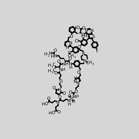 COc1ccccc1-c1nccc(COc2ccccc2C[C@@H](Oc2ncnc3sc(-c4ccc(F)cc4)c(-c4ccc(OCCN5CC[N+](C)(Cc6ccc(NC(=O)[C@H](CCCNC(N)=O)NC(=O)[C@@H](NC(=O)CCOCCN7C(=O)C=CC7=O)C(C)C)cc6COCc6cn(CCOC(=O)NS(=O)(=O)NCCC(=O)N(CCC(=O)O)CCC(=O)O)nn6)CC5)c(Cl)c4C)c23)C(=O)O)n1